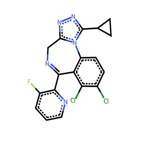 Fc1cccnc1C1=NCc2nnc(C3CC3)n2-c2ccc(Cl)c(Cl)c21